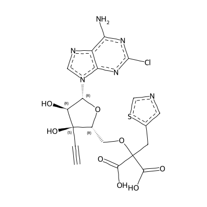 C#C[C@@]1(O)[C@@H](COC(Cc2cncs2)(C(=O)O)C(=O)O)O[C@@H](n2cnc3c(N)nc(Cl)nc32)[C@@H]1O